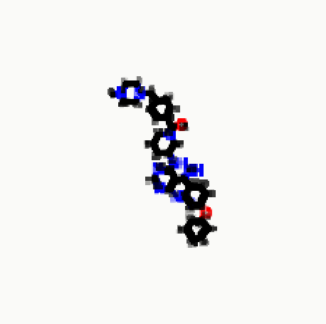 CN1CCN(Cc2ccc(C(=O)N3CCCC(Nc4ncnc(N)c4C(=N)c4ccc(Oc5ccccc5)cc4)C3)cc2)CC1